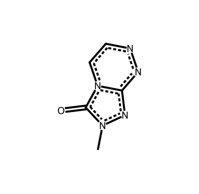 Cn1nc2nnccn2c1=O